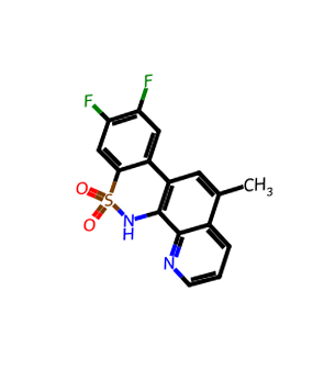 Cc1cc2c(c3ncccc13)NS(=O)(=O)c1cc(F)c(F)cc1-2